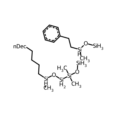 CCCCCCCCCCCCCC[SiH](C)O[SiH2][Si](C)(C)O[SiH3].C[SiH](CCc1ccccc1)O[SiH3]